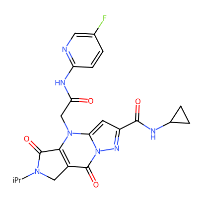 CC(C)N1Cc2c(n(CC(=O)Nc3ccc(F)cn3)c3cc(C(=O)NC4CC4)nn3c2=O)C1=O